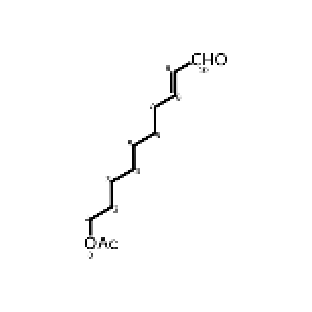 CC(=O)OCCCCCCCC=CC=O